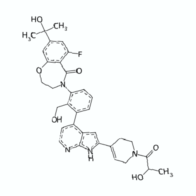 CC(O)C(=O)N1CC=C(c2cc3c(-c4cccc(N5CCOc6cc(C(C)(C)O)cc(F)c6C5=O)c4CO)ccnc3[nH]2)CC1